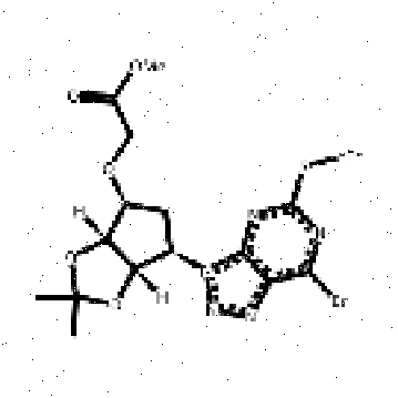 CCCSc1nc(Br)c2nnn([C@@H]3C[C@H](OCC(=O)OC)[C@H]4OC(C)(C)O[C@H]43)c2n1